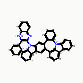 C1=CC2=NC(n3c4ccccc4c4cc5c(cc43)-c3ccccc3-n3c4ccccc4c4cccc-5c43)=C(c3ccccc3)NC2C=C1